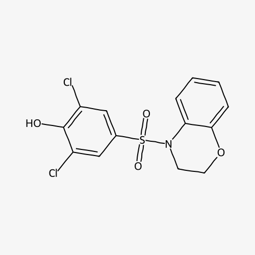 O=S(=O)(c1cc(Cl)c(O)c(Cl)c1)N1CCOc2ccccc21